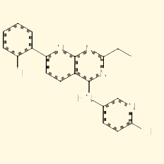 FC(F)(F)c1ccc(Nc2nc(CI)nc3nc(-c4ccccc4C(F)(F)F)ccc23)cn1